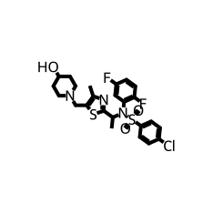 Cc1nc(C(C)N(c2cc(F)ccc2F)S(=O)(=O)c2ccc(Cl)cc2)sc1CN1CCC(O)CC1